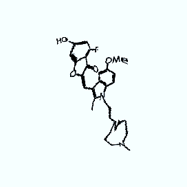 COc1ccc2c(c1)c(C=C1Oc3cc(O)cc(F)c3C1=O)c(C)n2CCN1CCN(C)CC1